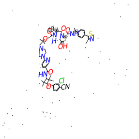 Cc1ncsc1-c1ccc([C@H](C)NC(=O)[C@@H]2C[C@@H](O)CN2C(=O)[C@@H](NC(=O)COC(C)(C)CN2CCN(c3ccc(C(=O)NC4C(C)(C)C(Oc5ccc(C#N)c(Cl)c5)C4(C)C)cn3)CC2)C(C)(C)C)cc1